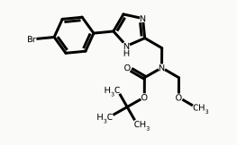 COCN(Cc1ncc(-c2ccc(Br)cc2)[nH]1)C(=O)OC(C)(C)C